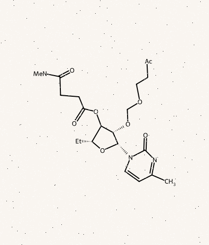 CC[C@H]1O[C@@H](n2ccc(C)nc2=O)[C@@H](OCOCCC(C)=O)C1OC(=O)CCC(=O)NC